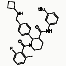 Cc1cccc(F)c1C(=O)N1CCCC(C(=O)Nc2cccc(C(C)(C)C)c2)C1c1ccc(CNC2CCC2)cc1